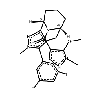 COc1c(C(=O)N2[C@@H]3CCC[C@H]2c2nn(C)c(-c4cc(F)cc(F)c4)c2C3)cnn1C